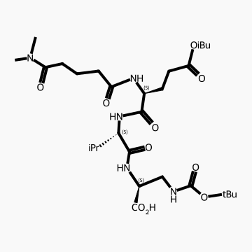 CC(C)COC(=O)CC[C@H](NC(=O)CCCC(=O)N(C)C)C(=O)N[C@H](C(=O)N[C@@H](CNC(=O)OC(C)(C)C)C(=O)O)C(C)C